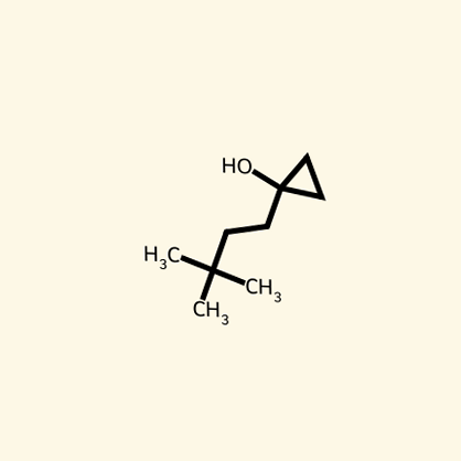 CC(C)(C)CCC1(O)CC1